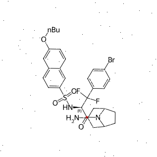 CCCCOc1ccc2cc(S(=O)(=O)N[C@H](C(=O)N3C4CCC3CC(N)C4)C(F)(F)c3ccc(Br)cc3)ccc2c1